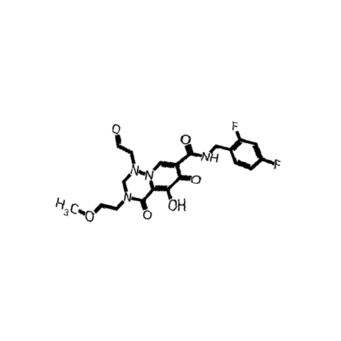 COCCN1CN(CC=O)n2cc(C(=O)NCc3ccc(F)cc3F)c(=O)c(O)c2C1=O